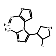 C=Nc1[nH]ccc1-n1c(C2CNCC2CC)cnc1C